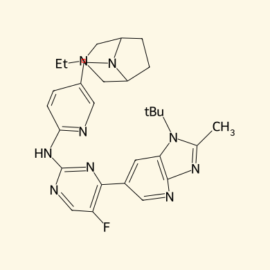 CCN1CC2CCC(C1)N2Cc1ccc(Nc2ncc(F)c(-c3cnc4nc(C)n(C(C)(C)C)c4c3)n2)nc1